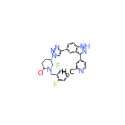 Cc1cc(-c2n[nH]c3ccc(-c4cn(C5CCC(=O)N(Cc6c(F)cccc6F)C5)nn4)cc23)ccn1